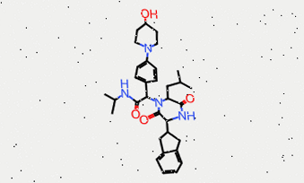 CC(C)CC1C(=O)NC(C2Cc3ccccc3C2)C(=O)N1C(C(=O)NC(C)C)c1ccc(N2CCC(O)CC2)cc1